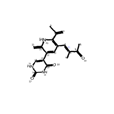 C=C(C)C1=C(/C=C(\C)C(C)=O)C=C(c2c[nH]c(=O)[nH]c2=O)C(=C)N1